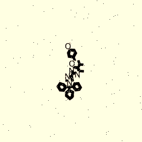 COc1ccc(COc2nc(-c3cn(C(c4ccccc4)(c4ccccc4)c4ccccc4)cn3)nc(C)c2C(C)C)cc1